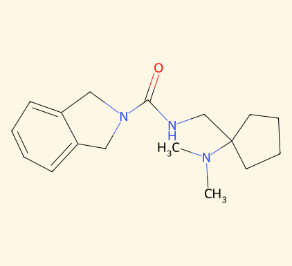 CN(C)C1(CNC(=O)N2Cc3ccccc3C2)CCCC1